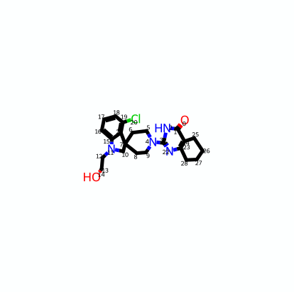 O=c1[nH]c(N2CCC3(CC2)CN(CCO)c2cccc(Cl)c23)nc2c1CCCC2